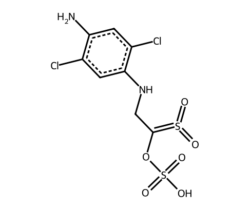 Nc1cc(Cl)c(NCC(OS(=O)(=O)O)=S(=O)=O)cc1Cl